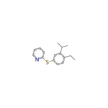 CCc1ccc(Sc2ccccn2)cc1C(C)C